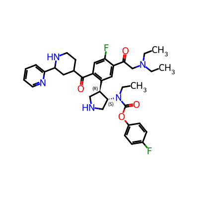 CCN(CC)CC(=O)c1cc([C@@H]2CNC[C@H]2N(CC)C(=O)Oc2ccc(F)cc2)c(C(=O)C2CCNC(c3ccccn3)C2)cc1F